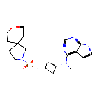 CN(c1ncnc2[nH]ccc12)[C@H]1C[C@@H](CS(=O)(=O)N2CCC3(CCOCC3)C2)C1